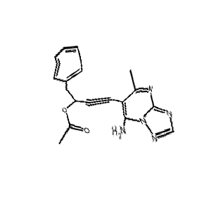 CC(=O)OC(C#Cc1c(C)nc2ncnn2c1N)c1ccccc1